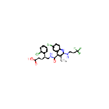 Cc1c(NCCC(F)(F)F)nc2ccc(Br)cc2c1C(=O)NCC(CCC(=O)O)c1ccccc1Cl